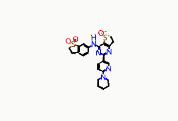 O=S1(=O)CCc2ccc(Nc3nc(-c4ccc(N5CCCCC5)nc4)nc4c3[S@+]([O-])CC4)cc21